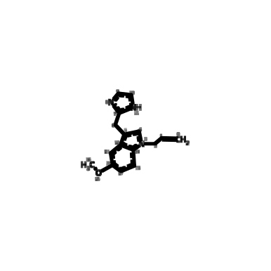 C=CCn1cc(Cc2ncc[nH]2)c2cc(OC)ccc21